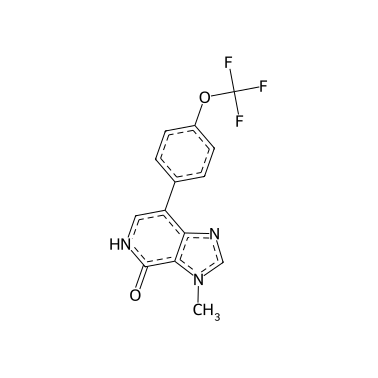 Cn1cnc2c(-c3ccc(OC(F)(F)F)cc3)c[nH]c(=O)c21